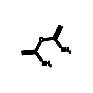 C=C([SiH3])OC(=C)[SiH3]